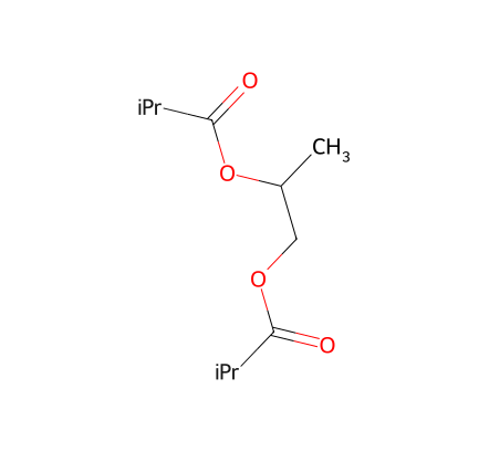 CC(COC(=O)C(C)C)OC(=O)C(C)C